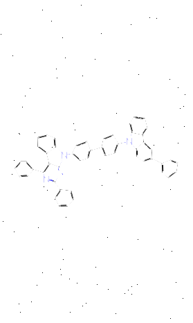 c1ccc(-c2ccc3c(c2)c2ccccc2n3-c2ccc(-c3ccc(-n4c5ccccc5c5c(-c6ccccc6)nc(-c6ccccc6)nc54)cc3)cc2)cc1